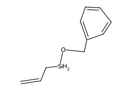 C=CC[SiH2]OCc1ccccc1